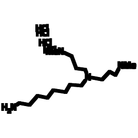 CNCCCN(CCCCCCCCN)CCCNC.Cl.Cl.Cl.Cl